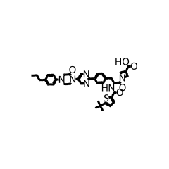 CCCc1ccc(N2CCN(c3cnc(-c4ccc(CC(NC(=O)c5ccc(C(C)(C)C)s5)C(=O)N5CC(C(=O)O)C5)cc4)nc3)C(=O)C2)cc1